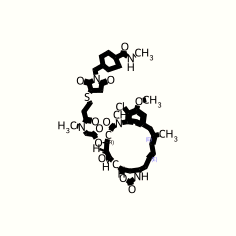 CNC(=O)C1CCC(CN2C(=O)CC(SCCC(=O)N(C)CC(=O)O[C@@H]3CC(=O)N(C)c4cc(cc(OC)c4Cl)C/C(C)=C/C=C/CC4C[C@H](C[C@H]5O[C@H]35)OC(=O)N4)C2=O)CC1